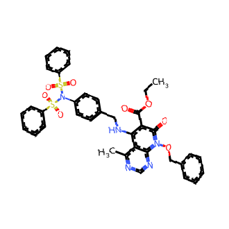 CCOC(=O)c1c(NCc2ccc(N(S(=O)(=O)c3ccccc3)S(=O)(=O)c3ccccc3)cc2)c2c(C)ncnc2n(OCc2ccccc2)c1=O